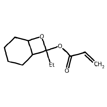 C=CC(=O)OC1(CC)OC2CCCCC21